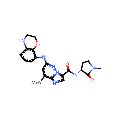 CNc1cc(Nc2cccc3c2OCCN3)nn2c(C(=O)N[C@@H]3CCN(C)C3=O)cnc12